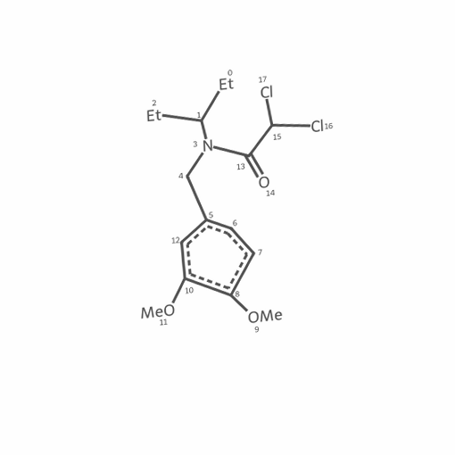 CCC(CC)N(Cc1ccc(OC)c(OC)c1)C(=O)C(Cl)Cl